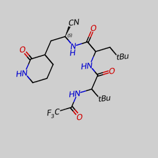 CC(C)(C)CC(NC(=O)C(NC(=O)C(F)(F)F)C(C)(C)C)C(=O)N[C@H](C#N)CC1CCCNC1=O